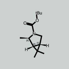 C[C@@H]1[C@@H]2[C@H](CN1C(=O)OC(C)(C)C)C2(C)C